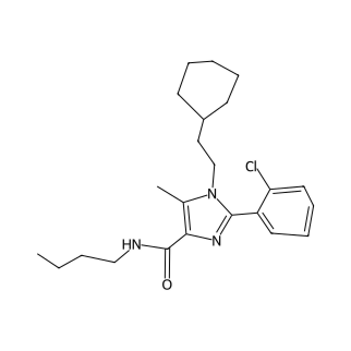 CCCCNC(=O)c1nc(-c2ccccc2Cl)n(CCC2CCCCC2)c1C